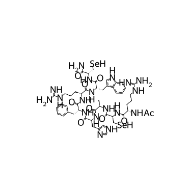 CC(=O)N[C@@H](CCCNC(=N)N)C(=O)N[C@@H](C[SeH])C(=O)N[C@H](C)C(=O)N[C@@H](Cc1c[nH]cn1)C(=O)N[C@H](Cc1ccccc1)C(=O)N[C@@H](CCCNC(=N)N)C(=O)N[C@@H](Cc1c[nH]c2ccccc12)C(=O)N[C@@H](C[SeH])C(N)=O